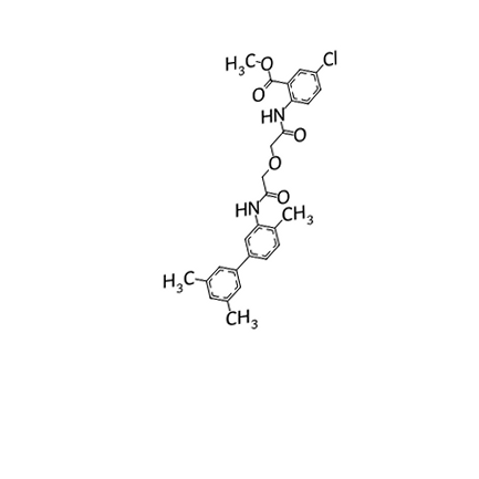 COC(=O)c1cc(Cl)ccc1NC(=O)COCC(=O)Nc1cc(-c2cc(C)cc(C)c2)ccc1C